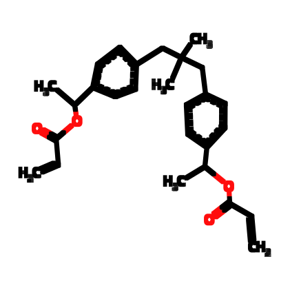 C=CC(=O)OC(C)c1ccc(CC(C)(C)Cc2ccc(C(C)OC(=O)C=C)cc2)cc1